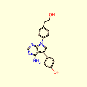 Nc1ncnc2c1c(-c1ccc(O)cc1)cn2-c1ccc(CCO)cc1